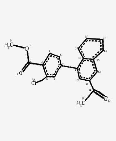 COC(=O)c1ccc(-c2cc(C(C)=O)cc3ccccc23)cc1Cl